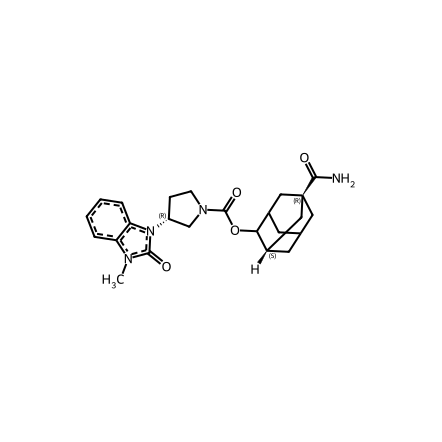 Cn1c(=O)n([C@@H]2CCN(C(=O)OC3C4CC5C[C@H]3C[C@@](C(N)=O)(C5)C4)C2)c2ccccc21